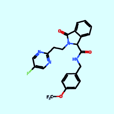 O=C(NCc1ccc(OC(F)(F)F)cc1)C1c2ccccc2C(=O)N1CCc1ncc(F)cn1